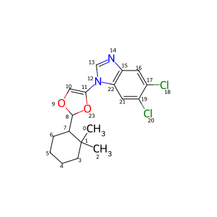 CC1(C)CCCCC1C1OC=C(n2cnc3cc(Cl)c(Cl)cc32)O1